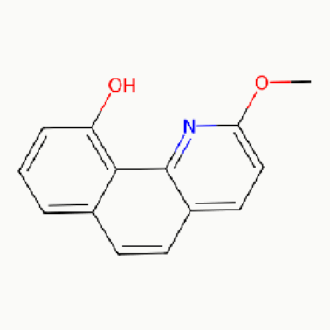 COc1ccc2ccc3cccc(O)c3c2n1